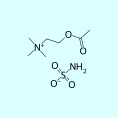 CC(=O)OCC[N+](C)(C)C.NS(=O)(=O)[O-]